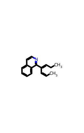 C/C=C\C(=C/CC)c1nccc2ccccc12